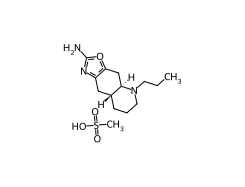 CCCN1CCC[C@@H]2Cc3nc(N)oc3C[C@H]21.CS(=O)(=O)O